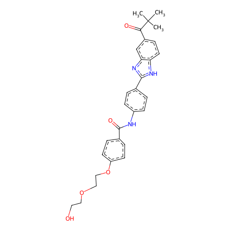 CC(C)(C)C(=O)c1ccc2[nH]c(-c3ccc(NC(=O)c4ccc(OCCOCCO)cc4)cc3)nc2c1